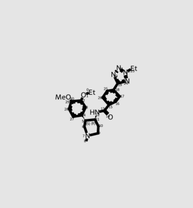 CCOc1cc([C@H]2CN(C)CC[C@H]2NC(=O)c2ccc(-c3nnn(CC)n3)cc2)ccc1OC